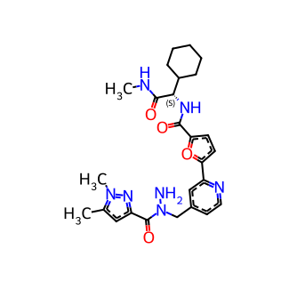 CNC(=O)[C@@H](NC(=O)c1ccc(-c2cc(CN(N)C(=O)c3cc(C)n(C)n3)ccn2)o1)C1CCCCC1